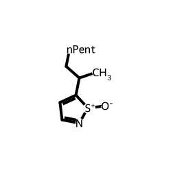 CCCCCCC(C)c1ccn[s+]1[O-]